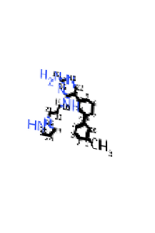 Cc1cccc(-c2cccc(-c3cnc(N)nc3NCCCN3CCCN3)c2)c1